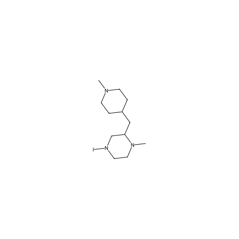 CN1CCC(CC2CN(I)CCN2C)CC1